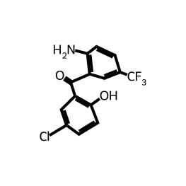 Nc1ccc(C(F)(F)F)cc1C(=O)c1cc(Cl)ccc1O